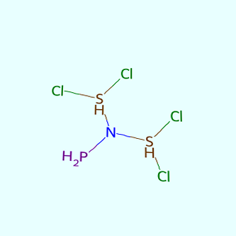 PN([SH](Cl)Cl)[SH](Cl)Cl